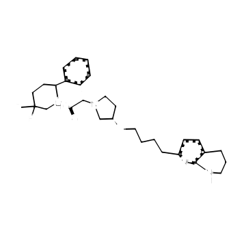 O=C(O)[C@H](c1ccccc1C1CCC(F)(F)CO1)N1CC[C@@H](OCCCCc2ccc3c(n2)NCCC3)C1